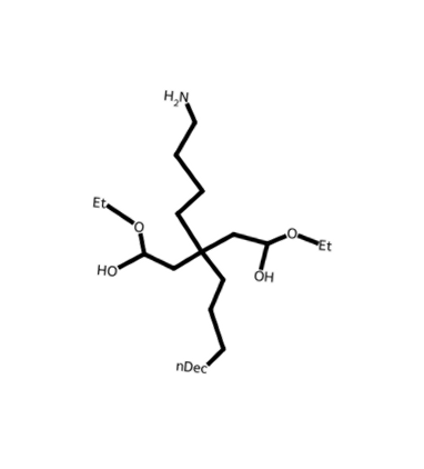 CCCCCCCCCCCCCC(CCCCN)(CC(O)OCC)CC(O)OCC